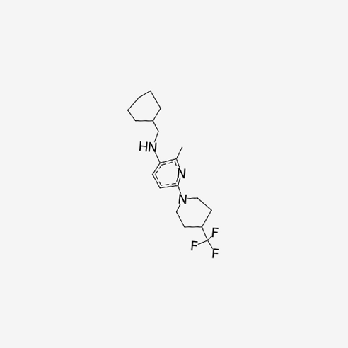 Cc1nc(N2CCC(C(F)(F)F)CC2)ccc1NCC1CCCCC1